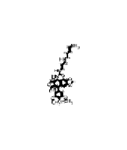 COc1cc(C2c3cc4c(cc3[C@@H](NC(=O)NCCCNCCCCN)[C@H]3COC(=O)[C@H]23)OCO4)cc(OC)c1O